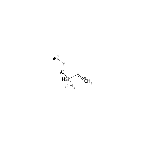 C=C[SiH](C)OCCCC